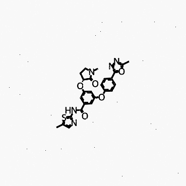 Cc1nnc(-c2ccc(Oc3cc(O[C@@H]4CCN(C)C4=O)cc(C(=O)Nc4ncc(C)s4)c3)cc2)o1